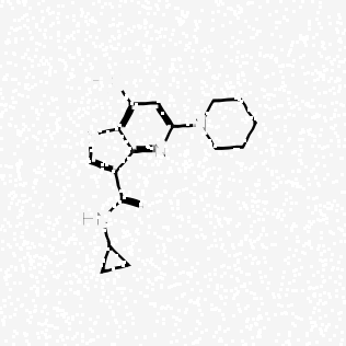 O=C(NC1CC1)c1csc2c(C(F)(F)F)cc(N3CC[CH]CC3)nc12